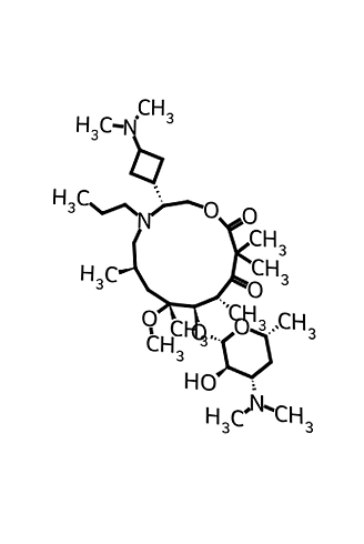 CCCN1C[C@H](C)C[C@@](C)(OC)[C@H](O[C@@H]2O[C@H](C)C[C@H](N(C)C)[C@H]2O)[C@@H](C)C(=O)C(C)(C)C(=O)OC[C@H]1C1CC(N(C)C)C1